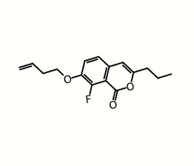 C=CCCOc1ccc2cc(CCC)oc(=O)c2c1F